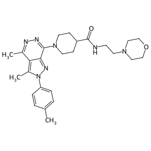 Cc1ccc(-n2nc3c(N4CCC(C(=O)NCCN5CCOCC5)CC4)nnc(C)c3c2C)cc1